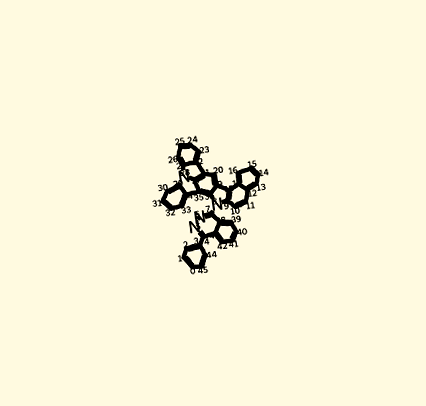 c1ccc(-c2nnc(-n3c4ccc5ccccc5c4c4cc5c6ccccc6n6c7ccccc7c(c43)c56)c3ccccc23)cc1